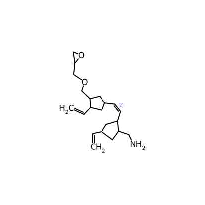 C=CC1CC(/C=C\C2CC(C=C)C(COCC3CO3)C2)C(CN)C1